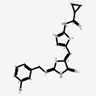 O=C1N/C(=N/Cc2cccc(Br)c2)S/C1=C\c1cnc(NC(=O)C2CC2)s1